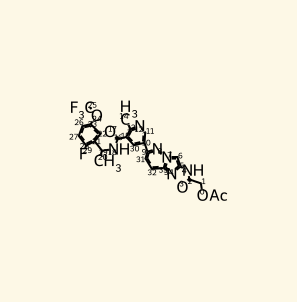 CC(=O)OCC(=O)Nc1cn2nc(-c3cnc(C)c(C(=O)NC(C)c4cc(OC(F)(F)F)ccc4F)c3)ccc2n1